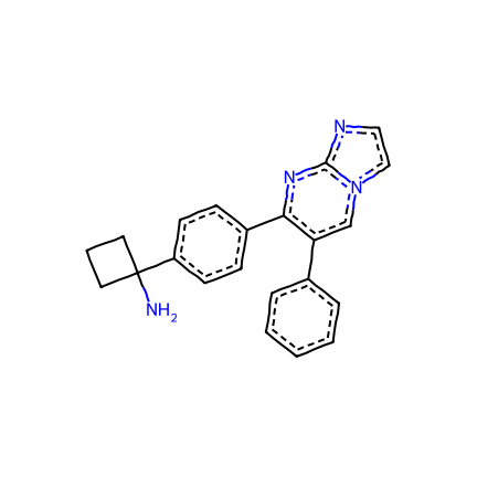 NC1(c2ccc(-c3nc4nccn4cc3-c3ccccc3)cc2)CCC1